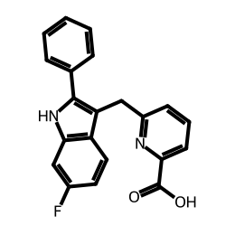 O=C(O)c1cccc(Cc2c(-c3ccccc3)[nH]c3cc(F)ccc23)n1